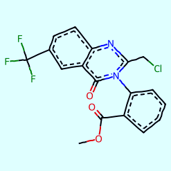 COC(=O)c1ccccc1-n1c(CCl)nc2ccc(C(F)(F)F)cc2c1=O